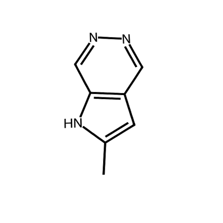 Cc1cc2cnncc2[nH]1